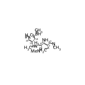 C=CC(/C=N\C)=C(N)\C(=C\NC(C)C(/C=C(\C)BC)=C/C(C)C)CNC